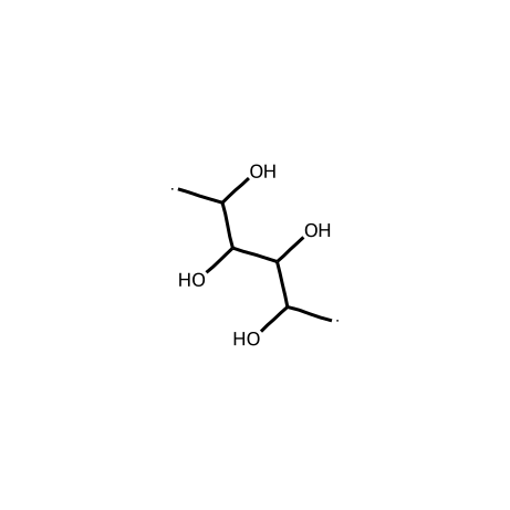 [CH2]C(O)C(O)C(O)C([CH2])O